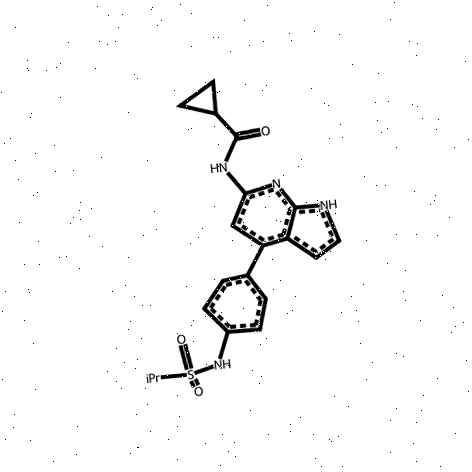 CC(C)S(=O)(=O)Nc1ccc(-c2cc(NC(=O)C3CC3)nc3[nH]ccc23)cc1